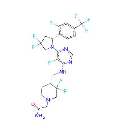 NC(=O)CN1CC[C@H](CNc2ncnc(N3CC(F)(F)C[C@@H]3c3ccc(C(F)(F)F)cc3F)c2F)C(F)(F)C1